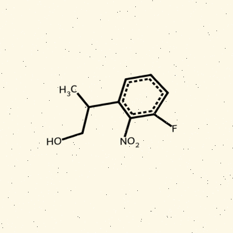 C[C](CO)c1cccc(F)c1[N+](=O)[O-]